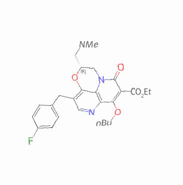 CCCCOc1c(C(=O)OCC)c(=O)n2c3c(c(Cc4ccc(F)cc4)cnc13)O[C@H](CNC)C2